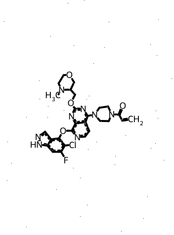 C=CC(=O)N1CCN(c2nc(OCC3COCCN3C)nc3c(Oc4c(Cl)c(F)cc5[nH]ncc45)nccc23)CC1